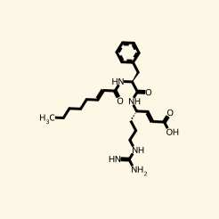 CCCCC/C=C/C(=O)N[C@@H](Cc1ccccc1)C(=O)N[C@H](/C=C/C(=O)O)CCCNC(=N)N